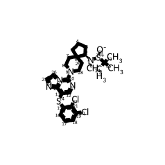 CN([C@@H]1CCCC12CCN(c1ncc(Sc3cccc(Cl)c3Cl)c3nccn13)CC2)[S@+]([O-])C(C)(C)C